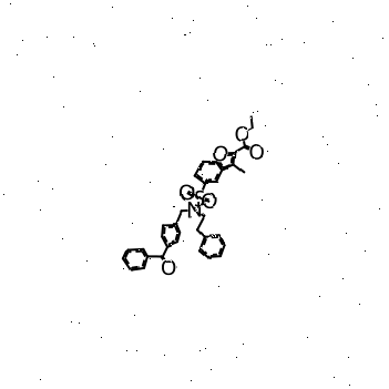 CCOC(=O)c1oc2ccc(S(=O)(=O)N(CCc3ccccc3)Cc3ccc(C(=O)c4ccccc4)cc3)cc2c1C